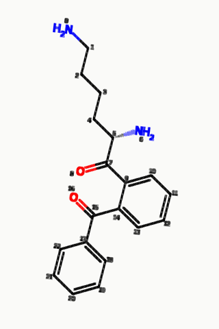 NCCCC[C@H](N)C(=O)c1ccccc1C(=O)c1ccccc1